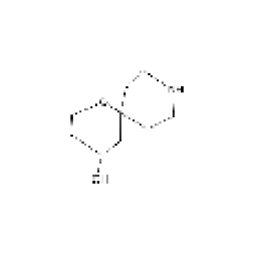 OC1CCOC2(CCNCC2)C1